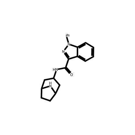 CC(C)n1nc(C(=O)NC2CC3CCC(C2)N3)c2ccccc21